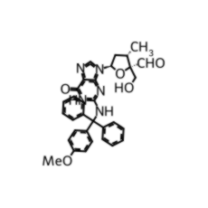 COc1ccc(C(Nc2nc3c(ncn3[C@H]3C[C@H](C)[C@@](C=O)(CO)O3)c(=O)[nH]2)(c2ccccc2)c2ccccc2)cc1